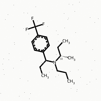 CCCN(C(CC)c1ccc(C(F)(F)F)cc1)[C@@H](C)CC